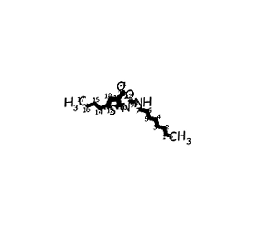 CCCCCCCCNc1nc2sc(CCCC)cc2c(=O)o1